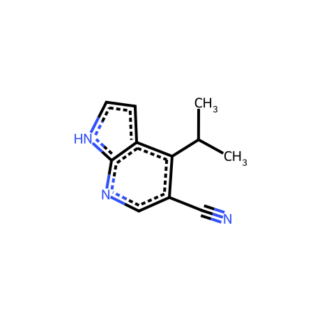 CC(C)c1c(C#N)cnc2[nH]ccc12